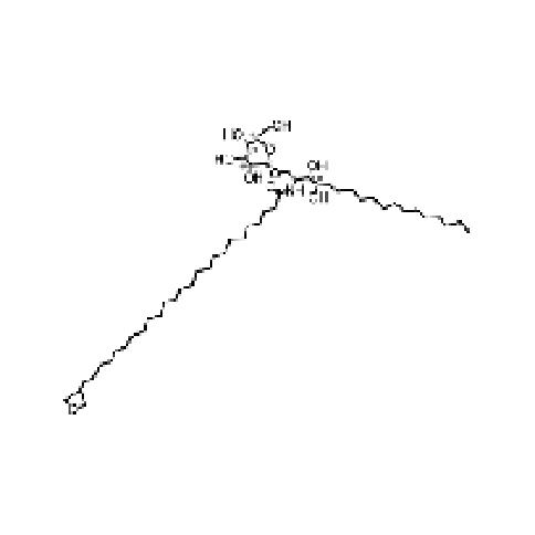 CCCCCCCCCCCCCC[C@@H](O)[C@@H](O)[C@H](CO[C@H]1O[C@H](CO)[C@H](O)[C@H](O)[C@H]1O)NC(=O)CCCCCCCCCCCCCCCCCCCCCCCCC1COC1